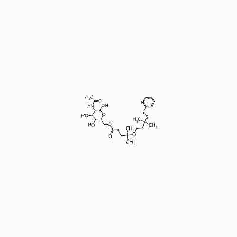 CC(=O)NC1C(O)OC(COC(=O)CCC(C)(C)OCCC(C)(C)SSc2ccccn2)C(O)C1O